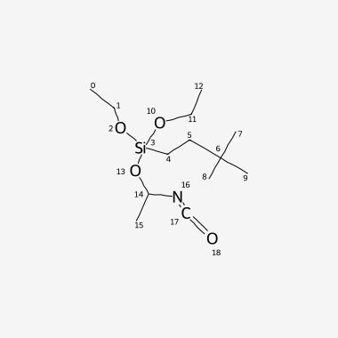 CCO[Si](CCC(C)(C)C)(OCC)OC(C)N=C=O